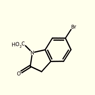 O=C(O)N1C(=O)Cc2ccc(Br)cc21